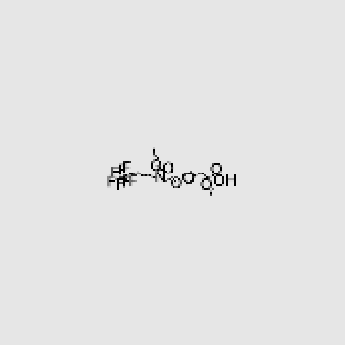 CCCOC(=O)N(CCCCC(F)(F)C(F)(F)C(F)(F)F)CCOc1ccc(CC(OCC)C(=O)O)cc1